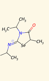 CC(C)/N=C1\[Se]C(C)C(=O)N1C(C)C